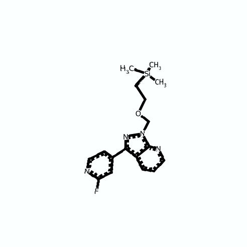 C[Si](C)(C)CCOCn1nc(-c2ccnc(F)c2)c2cccnc21